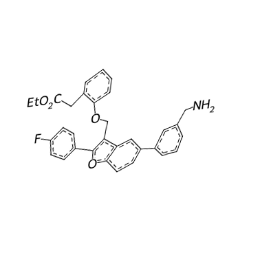 CCOC(=O)Cc1ccccc1OCc1c(-c2ccc(F)cc2)oc2ccc(-c3cccc(CN)c3)cc12